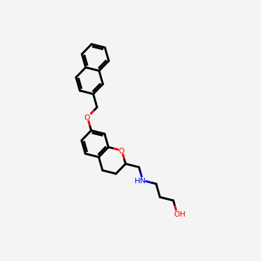 OCCCNCC1CCc2ccc(OCc3ccc4ccccc4c3)cc2O1